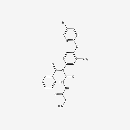 Cc1cc(N(C(=O)NNC(=O)CN)C(=O)c2ccccc2)ccc1Oc1ncc(Br)cn1